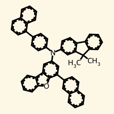 CC1(C)c2ccccc2-c2ccc(N(c3ccc(-c4cccc5ccccc45)cc3)c3cc(-c4ccc5ccccc5c4)c4oc5ccccc5c4c3)cc21